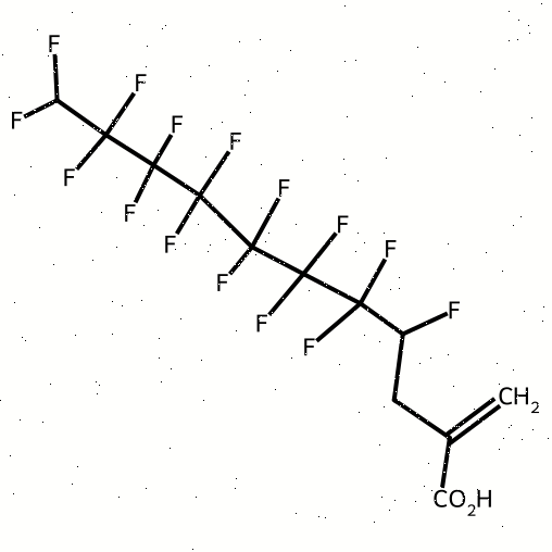 C=C(CC(F)C(F)(F)C(F)(F)C(F)(F)C(F)(F)C(F)(F)C(F)(F)C(F)F)C(=O)O